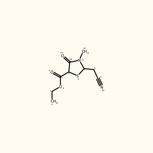 CCOC(=O)C1SC(CC#N)N(C)C1=O